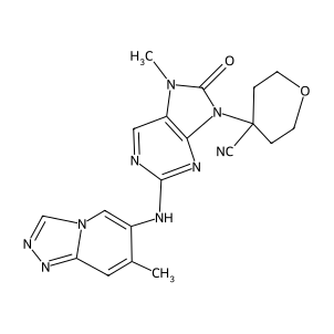 Cc1cc2nncn2cc1Nc1ncc2c(n1)n(C1(C#N)CCOCC1)c(=O)n2C